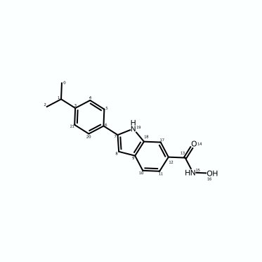 CC(C)c1ccc(-c2cc3ccc(C(=O)NO)cc3[nH]2)cc1